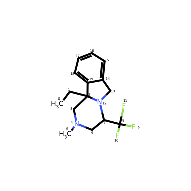 CCC12CN(C)CC(C(F)(F)F)N1Cc1ccccc12